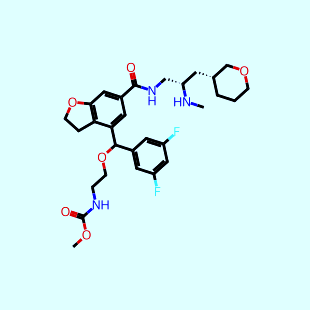 CN[C@H](CNC(=O)c1cc2c(c(C(OCCNC(=O)OC)c3cc(F)cc(F)c3)c1)CCO2)C[C@H]1CCCOC1